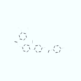 C=C(Oc1ccc2c(c1)C(C)c1cc(OC(=O)c3ccc(OC)cc3)ccc1-2)c1ccc(OC)c(OC)c1